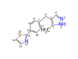 Cc1[nH]ncc1Cc1ccc(-c2nccs2)cc1